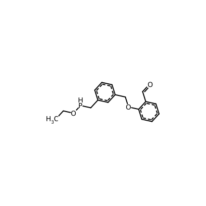 CCOPCc1cccc(COc2ccccc2C=O)c1